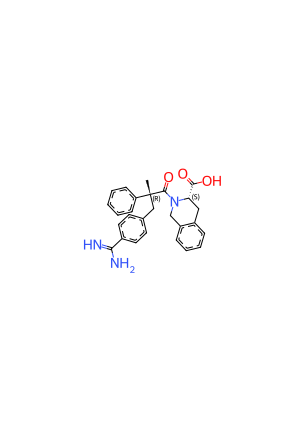 C[C@](Cc1ccc(C(=N)N)cc1)(C(=O)N1Cc2ccccc2C[C@H]1C(=O)O)c1ccccc1